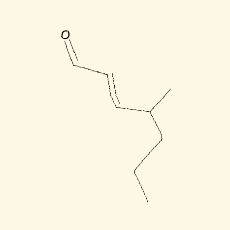 CCCC(C)C=CC=O